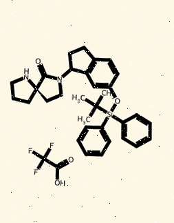 CC(C)(C)[Si](Oc1ccc2c(c1)C(N1CC[C@]3(CCCN3)C1=O)CC2)(c1ccccc1)c1ccccc1.O=C(O)C(F)(F)F